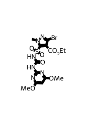 CCOC(=O)c1c(Br)nn(C)c1S(=O)(=O)NC(=O)Nc1nc(OC)cc(OC)n1